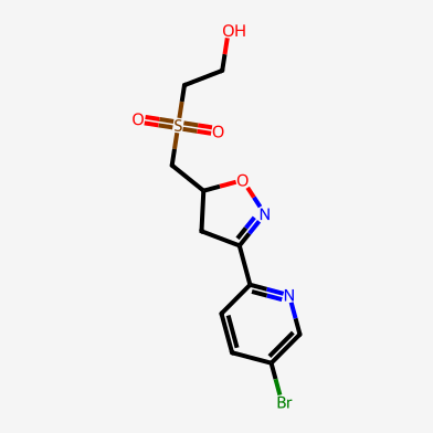 O=S(=O)(CCO)CC1CC(c2ccc(Br)cn2)=NO1